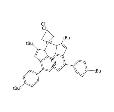 CC(C)(C)C1=Cc2c(-c3ccc(C(C)(C)C)cc3)cccc2[CH]1[Ti+2]1([CH]2C(C(C)(C)C)=Cc3c(-c4ccc(C(C)(C)C)cc4)cccc32)[CH2]C[CH2]1.[Cl-].[Cl-]